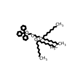 CCCCCCCCCC(CCCCCCCC)OCC(COCCOC(c1ccccc1)(c1ccccc1)c1ccccc1)OC(CCCCCCCC)CCCCCCCCC